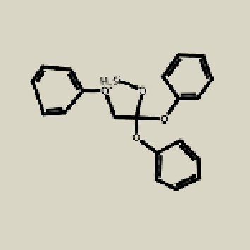 [SiH3]OC(COc1ccccc1)(Oc1ccccc1)Oc1ccccc1